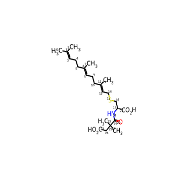 CC(C)=CCC/C(C)=C/CC/C(C)=C/CSC[C@H](NC(=O)C(C)(C)CC(=O)O)C(=O)O